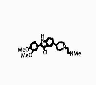 CNCCN1CCC(c2ccc3[nH]c(-c4ccc(OC)c(OC)c4)c(Cl)c3c2)CC1